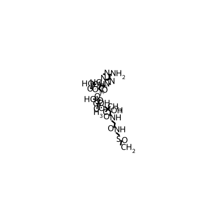 C=CC(=O)SCCNC(=O)CCNC(=O)C(O)C(C)(C)COP(=O)(O)OP(=O)(O)OC[C@H]1O[C@@H](n2cnc3c(N)ncnc32)[C@H](O)[C@@H]1OP(=O)(O)O